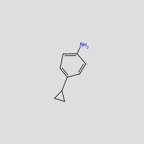 Nc1[c]cc(C2CC2)cc1